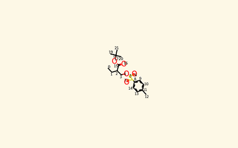 CCC(COS(=O)(=O)c1ccc(C)cc1)C(=O)OC(C)(C)C